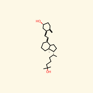 C=C1CC[C@H](O)C/C1=C/C=C1\CCC[C@@]2(C)C1CC[C@@H]2C(C)CCCC(C)(C)O